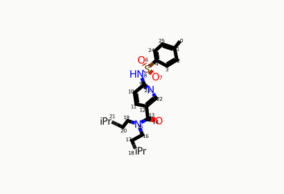 Cc1ccc(S(=O)(=O)Nc2ccc(C(=O)N(CCC(C)C)CCC(C)C)cn2)cc1